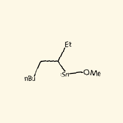 CCCCC[CH](CC)[Sn][O]C